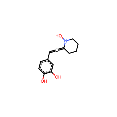 Oc1ccc(C=C=C2CCCCN2O)cc1O